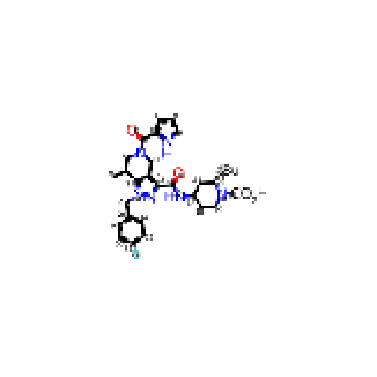 CC1CN(C(=O)c2ccc[nH]2)Cc2c(C(=O)NC3CCN(C(=O)O)C(C(C)(C)C)C3)nn(Cc3ccc(F)cc3)c21